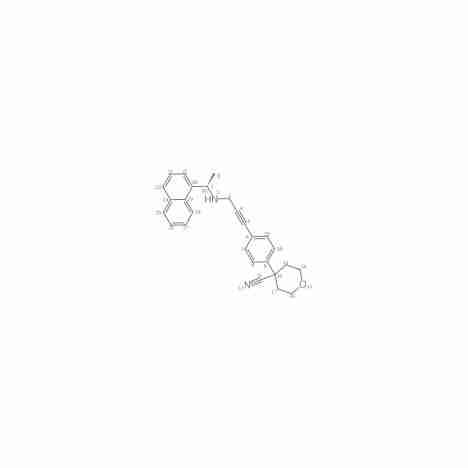 C[C@@H](NCC#Cc1ccc(C2(C#N)CCOCC2)cc1)c1cccc2ccccc12